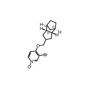 [O-][n+]1ccc(OCC2C[C@@H]3[C@H]4CC[C@H](C4)[C@@H]3C2)c(Br)c1